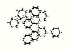 c1ccc(-c2cccc(N(c3ccc(-c4ccccc4)cc3-c3cccc4ccccc34)c3cccc4ccc5c6cccnc6oc5c34)c2)cc1